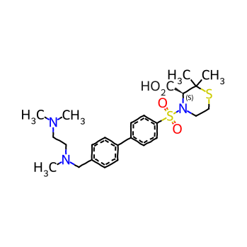 CN(C)CCN(C)Cc1ccc(-c2ccc(S(=O)(=O)N3CCSC(C)(C)[C@@H]3C(=O)O)cc2)cc1